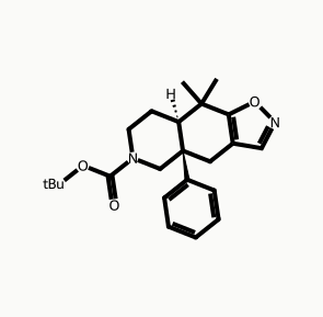 CC(C)(C)OC(=O)N1CC[C@H]2C(C)(C)c3oncc3C[C@]2(c2ccccc2)C1